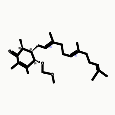 COCO[C@@H]1C(C)=C(C)C(=O)[C@@H](C)[C@@H]1C/C=C(\C)CC/C=C(\C)CCC=C(C)C